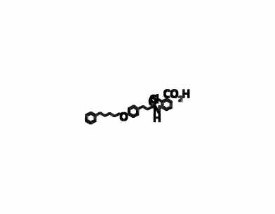 O=C(CCc1ccc(OCCCCCc2ccccc2)cc1)Nc1cccc(C(=O)O)c1Cl